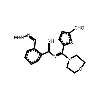 CN/N=C\c1ccccc1C(=N)/N=C(\c1ccc(C=O)s1)N1CCOCC1